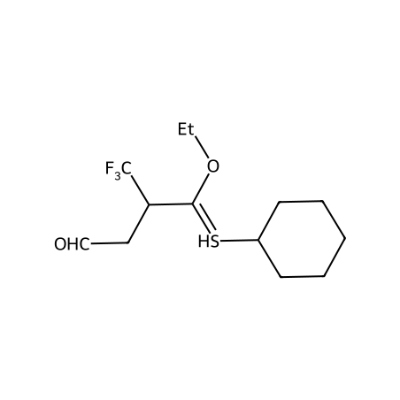 CCOC(=[SH]C1CCCCC1)C(CC=O)C(F)(F)F